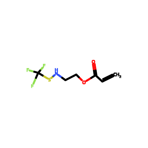 C=CC(=O)OCCNSC(F)(F)F